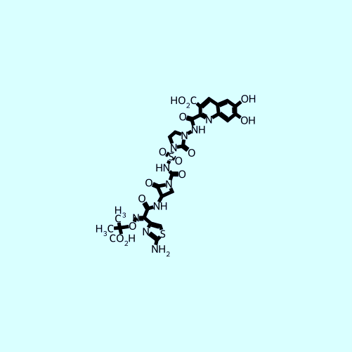 CC(C)(O/N=C(/C(=O)NC1CN(C(=O)NS(=O)(=O)N2CCN(NC(=O)c3nc4cc(O)c(O)cc4cc3C(=O)O)C2=O)C1=O)c1csc(N)n1)C(=O)O